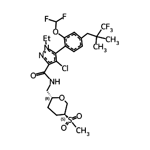 CCn1nc(C(=O)NC[C@H]2CC[C@H](S(C)(=O)=O)CO2)c(Cl)c1-c1ccc(CC(C)(C)C(F)(F)F)cc1OC(F)F